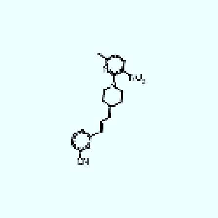 Cc1ccc([N+](=O)[O-])c(N2CCC(=C/C=C/c3cccc(C#N)c3)CC2)n1